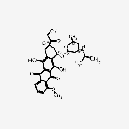 COc1cccc2c1C(=O)c1c(O)c3c(c(O)c1C2=O)C[C@@](O)(C(=O)CO)C[C@@H]3O[C@H]1C[C@H](NC(C)C)C[C@H](C)O1